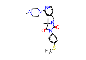 CN1CCN(c2cc(CN3C(=O)N(c4ccc(SC(F)(F)F)cc4)C(=O)C3(C)C)ccn2)CC1